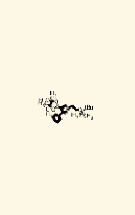 CC1(C)OB(c2cn(CCO[Si](C)(C)C(C)(C)C)nc2-c2ccccc2)OC1(C)C